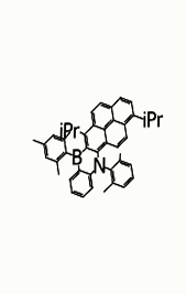 Cc1cc(C)c(B2c3ccccc3N(c3c(C)cccc3C)c3c2c(C(C)C)c2ccc4ccc(C(C)C)c5ccc3c2c45)c(C)c1